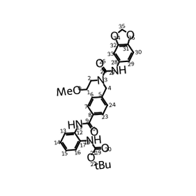 COCCN(Cc1ccc(C(=O)Nc2ccccc2NC(=O)OC(C)(C)C)cc1)C(=O)Nc1ccc2c(c1)OCO2